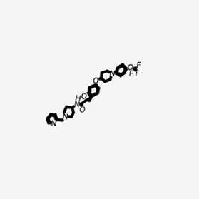 O=C(NC1CCN(Cc2ccccn2)CC1)c1cc2ccc(OC3CCN(c4ccc(OC(F)(F)F)cc4)CC3)cc2o1